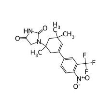 CC1(C)C=C(c2ccc([N+](=O)[O-])c(C(F)(F)F)c2)CC(C)(N2CC(=O)NC2=O)C1